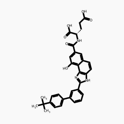 CC(C)(C)c1ccc(-c2cccc(-c3nc4c(ccc5cc(C(=O)N[C@@H](CCC(=O)O)C(=O)O)cc(O)c54)[nH]3)c2)cc1